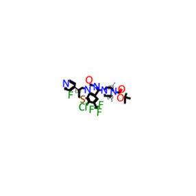 C[C@@H]1CN(c2nc(=O)n3c4c(c(Cl)c(C(F)(F)F)cc24)SC[C@@H](c2ccncc2F)C3)C[C@H](C)N1C(=O)OC(C)(C)C